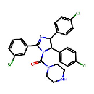 O=C(N1CCNCC1)N1C(c2cccc(Br)c2)=NC(c2ccc(Cl)cc2)C1c1ccc(Cl)cc1